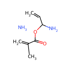 C=CC(N)OC(=O)C(=C)C.N